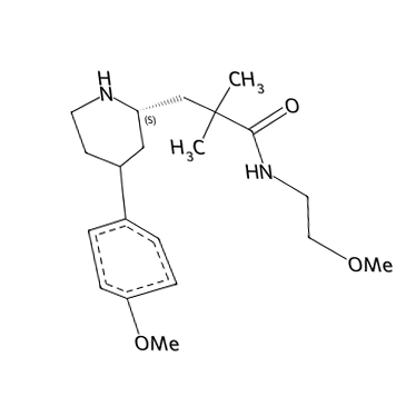 COCCNC(=O)C(C)(C)C[C@@H]1CC(c2ccc(OC)cc2)CCN1